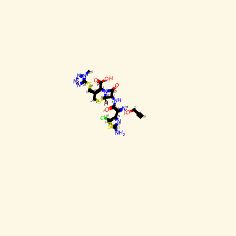 C#CCON=C(C(=O)NC1C(=O)N2C(C(=O)O)=C(CSc3nnnn3C)CS[C@@H]12)c1nc(N)sc1Cl